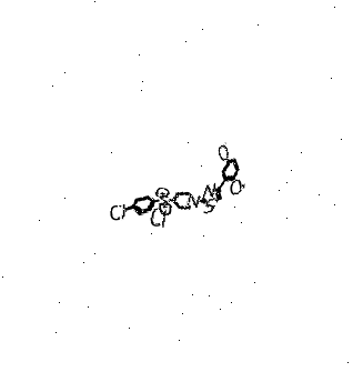 COc1ccc(OC)c(-c2csc(N3CCC(S(=O)(=O)c4ccc(Cl)cc4Cl)CC3)n2)c1